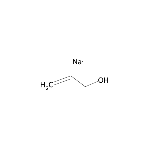 C=CCO.[Na]